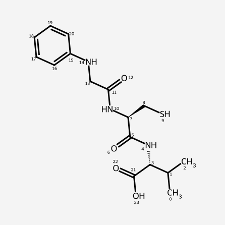 CC(C)[C@@H](NC(=O)[C@H](CS)NC(=O)CNc1ccccc1)C(=O)O